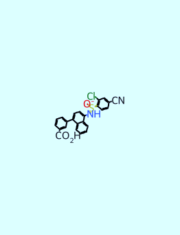 N#Cc1ccc([S+]([O-])Nc2ccc(-c3cccc(C(=O)O)c3)c3ccccc23)c(Cl)c1